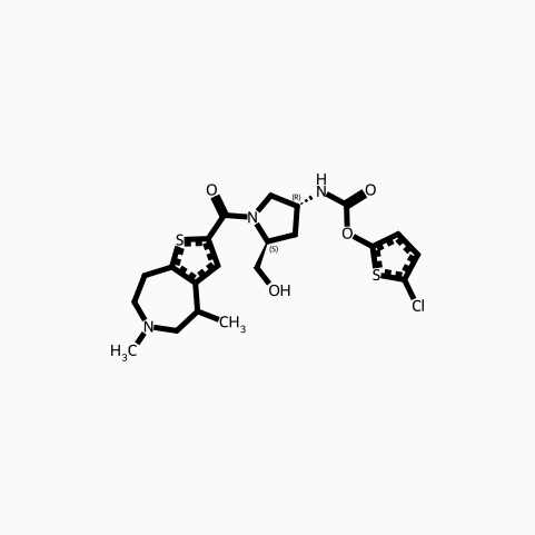 CC1CN(C)CCc2sc(C(=O)N3C[C@H](NC(=O)Oc4ccc(Cl)s4)C[C@H]3CO)cc21